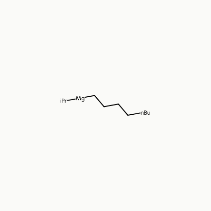 CCCCCCC[CH2][Mg][CH](C)C